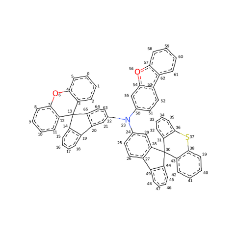 c1ccc2c(c1)Oc1ccccc1C21c2ccccc2-c2cc(N(c3ccc4c(c3)C3(c5ccccc5Sc5ccccc53)c3ccccc3-4)c3ccc4c(c3)oc3ccccc34)ccc21